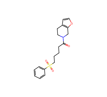 O=C(CCCCS(=O)(=O)c1ccccc1)N1CCc2ccoc2C1